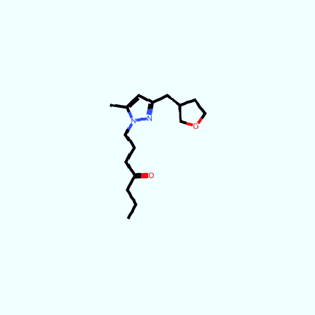 CCCC(=O)CCCn1nc(CC2CCOC2)cc1C